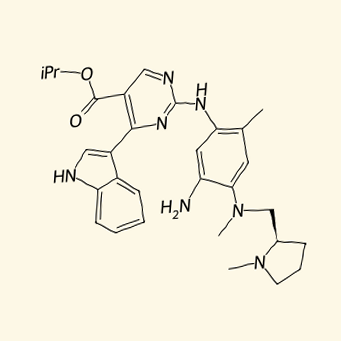 Cc1cc(N(C)C[C@H]2CCCN2C)c(N)cc1Nc1ncc(C(=O)OC(C)C)c(-c2c[nH]c3ccccc23)n1